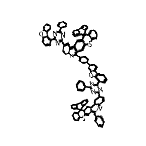 c1ccc(-c2nc(-c3ccc4nc(-c5ccccc5)c5cc6c(cc5c4c3)C3(c4ccccc4S6)c4ccccc4-c4ccccc43)nc(-c3cccc4c3oc3cc(-c5ccc(-c6nc7ccc(-c8nc(-c9ccccc9)nc(-c9cccc%10oc%11ccccc%11c9%10)n8)cc7c7cc8c(cc67)Sc6ccccc6C86c7ccccc7-c7ccccc76)cc5)ccc34)n2)cc1